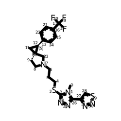 Cn1c(SCCCN2CC[C@@]3(C[C@H]3c3ccc(C(F)(F)F)cc3)C2)nnc1-c1csnn1